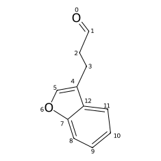 O=CCCc1coc2ccccc12